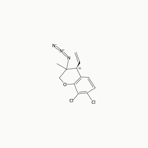 C=C[C@H]1c2ccc(Cl)c(Cl)c2OCC1(C)N=[N+]=[N-]